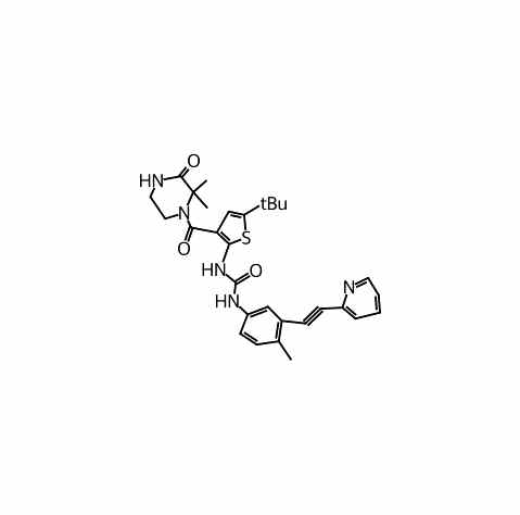 Cc1ccc(NC(=O)Nc2sc(C(C)(C)C)cc2C(=O)N2CCNC(=O)C2(C)C)cc1C#Cc1ccccn1